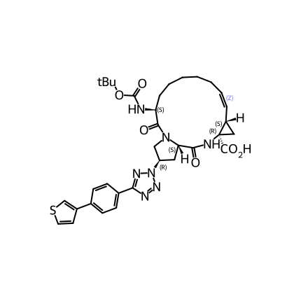 CC(C)(C)OC(=O)N[C@H]1CCCCC/C=C\[C@@H]2C[C@@]2(C(=O)O)NC(=O)[C@@H]2C[C@@H](n3nnc(-c4ccc(-c5ccsc5)cc4)n3)CN2C1=O